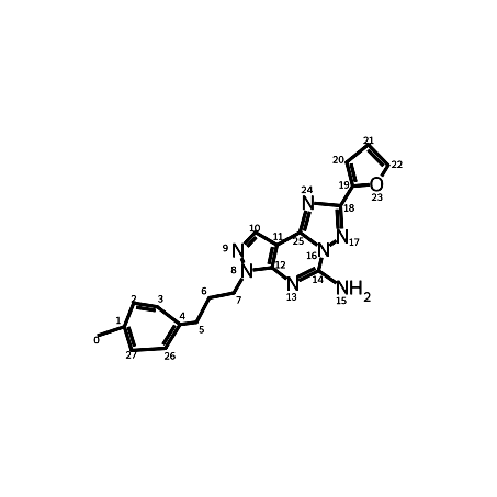 Cc1ccc(CCCn2ncc3c2nc(N)n2nc(-c4ccco4)nc32)cc1